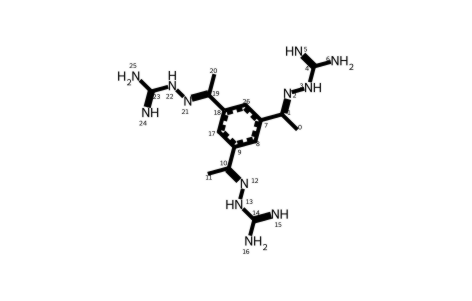 CC(=NNC(=N)N)c1cc(C(C)=NNC(=N)N)cc(C(C)=NNC(=N)N)c1